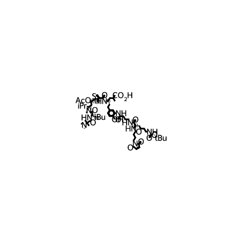 CC[C@H](C)[C@H](NC(=O)C(C)(C)N(C)C)C(=O)N(C)[C@H](C[C@@H](OC(C)=O)c1nc(C(=O)N[C@@H](CCc2ccc(O)c(NC(=O)CCCNC(=O)[C@H](CCCCNC(=O)OC(C)(C)C)NC(=O)CCCN3C(=O)C=CC3=O)c2)CC(C)C(=O)O)cs1)C(C)C